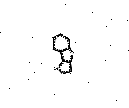 [c]1ccc2[se]c3c[c][se]c3c2c1